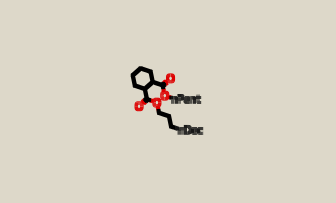 CCCCCCCCCCCCCOC(=O)C1CCCCC1C(=O)OCCCCC